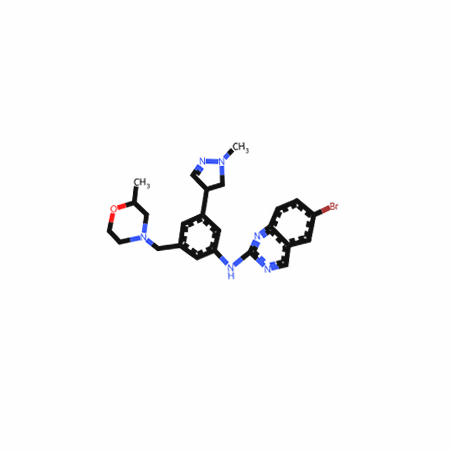 CC1CN(Cc2cc(Nc3ncc4cc(Br)ccc4n3)cc(C3C=NN(C)C3)c2)CCO1